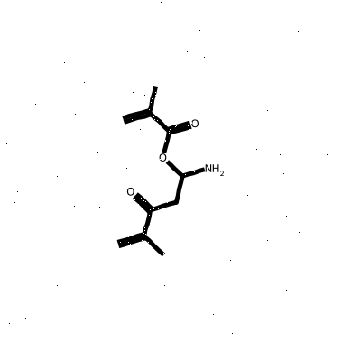 C=C(C)C(=O)CC(N)OC(=O)C(=C)C